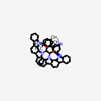 CC1(C)CCC(C)(C)c2c(-n3c4ccccc4c4ccc5c6ccccc6n(-c6ccccc6)c5c43)c(-n3c4ccccc4c4ccc5c6ccccc6n(-c6ccccc6)c5c43)c(C#N)c(C#N)c21